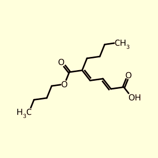 CCCCOC(=O)C(=CC=CC(=O)O)CCCC